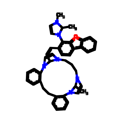 CC1N(C)C=CN1c1c(/C=C\C2N3C=CN2c2ccccc2CCc2ccccc2N2C=CN(CCC3)C2C)ccc2c1oc1ccccc12